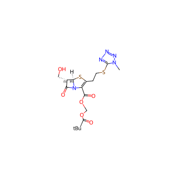 Cn1nnnc1SCCC1=C(C(=O)OCOC(=O)C(C)(C)C)N2C(=O)[C@H](CO)[C@H]2S1